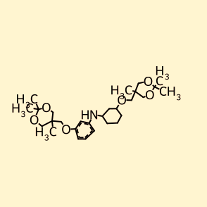 CC1(COc2cccc(NC3CCCC(OCC4(C)COC(C)(C)OC4)C3)c2)COC(C)(C)OC1